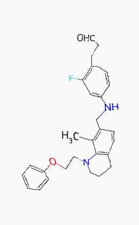 Cc1c(CNc2ccc(CCC=O)c(F)c2)ccc2c1N(CCOc1ccccc1)CCC2